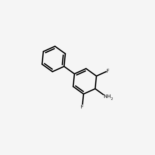 NC1C(F)=CC(c2ccccc2)=CC1F